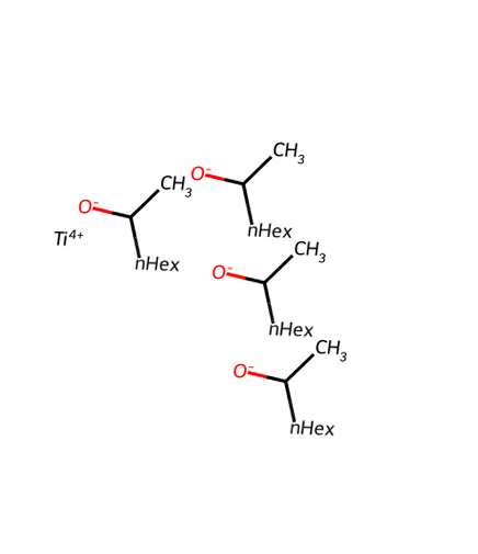 CCCCCCC(C)[O-].CCCCCCC(C)[O-].CCCCCCC(C)[O-].CCCCCCC(C)[O-].[Ti+4]